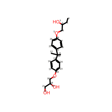 CCC(O)COc1ccc(C(C)(C)c2ccc(OCC(O)CO)cc2)cc1